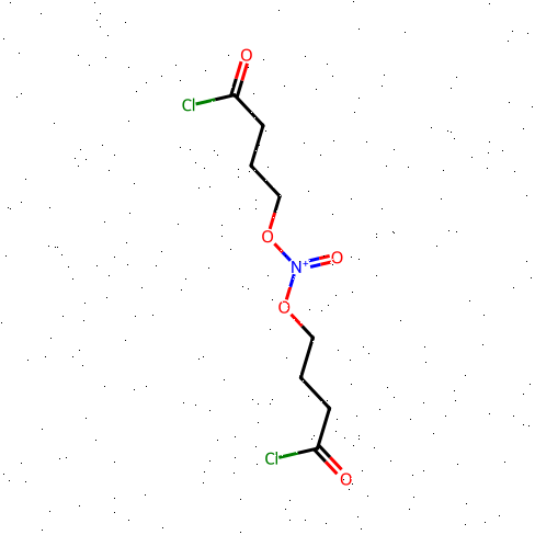 O=C(Cl)CCCO[N+](=O)OCCCC(=O)Cl